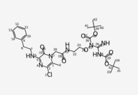 Cc1c(Cl)nc(NCCc2ccccc2)c(=O)n1CC(=O)NCCON(C(=N)NC(=O)OC(C)(C)C)C(=O)OC(C)(C)C